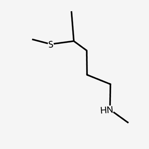 CNCCCC(C)SC